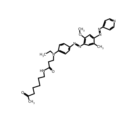 CCN(CCC(=O)NCCCCCC(C)=O)c1ccc(/N=N/c2cc(C)c(/N=N/c3ccncc3)cc2OC)cc1